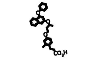 Cc1cc(OCCC(C)Oc2cc(Oc3ccccc3)c3ccccc3c2)ccc1CCC(=O)O